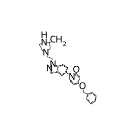 C=C1CN(CCn2ncc3cc(-n4ccc(OCc5ccccc5)cc4=O)ccc32)CCN1